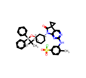 Cc1ccc(S(=O)(=O)Cl)cc1Nc1ncc2c(n1)N([C@@H]1CCC[C@@H](O[Si](c3ccccc3)(c3ccccc3)C(C)(C)C)C1)C(=O)C21CC1